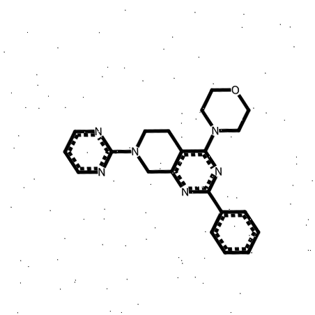 [c]1ccc(-c2nc3c(c(N4CCOCC4)n2)CCN(c2ncccn2)C3)cc1